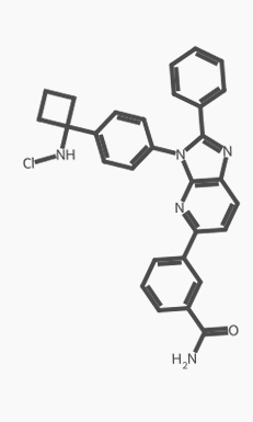 NC(=O)c1cccc(-c2ccc3nc(-c4ccccc4)n(-c4ccc(C5(NCl)CCC5)cc4)c3n2)c1